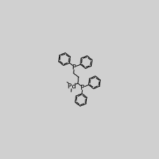 [CH3][Pd]([CH3])[CH](CCP(c1ccccc1)c1ccccc1)P(c1ccccc1)c1ccccc1